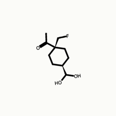 CC(=O)[C@]1(CF)CC[C@@H](C(O)O)CC1